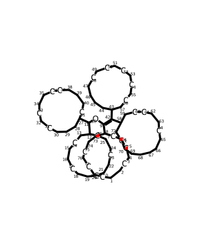 C1CCCCCCCC(C(OC(C2CCCCCCCCCCCCCC2)C2CCCCCCCCCCCCCC2)=C(C2CCCCCCCCCCCCCC2)C2CCCCCCCCCCCCCC2)CCCCCC1